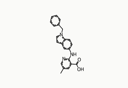 Cc1cnc(Nc2ccc3c(ccn3Cc3ccccc3)c2)c(C(=O)O)c1